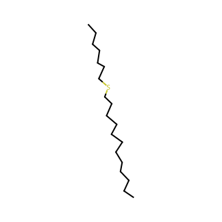 CCCCCCCCCCCCSCCCCCCC